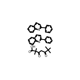 CC(C)(C)C(=O)CC(=O)C(C)(C)C(=O)O.c1ccc(-c2ccc3ccccc3n2)cc1.c1ccc(-c2ccc3ccccc3n2)cc1